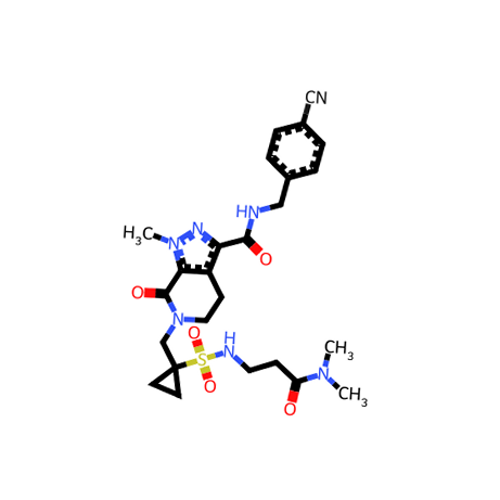 CN(C)C(=O)CCNS(=O)(=O)C1(CN2CCc3c(C(=O)NCc4ccc(C#N)cc4)nn(C)c3C2=O)CC1